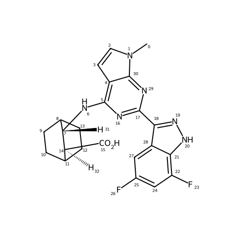 Cn1ccc2c(N[C@H]3C4CCC(CC4)[C@@H]3C(=O)O)nc(-c3n[nH]c4c(F)cc(F)cc34)nc21